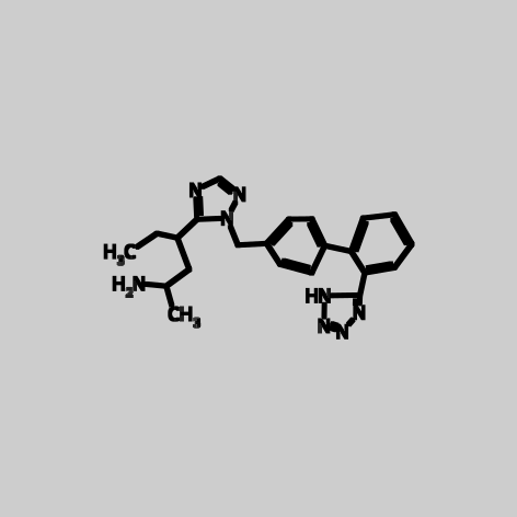 CCC(CC(C)N)c1ncnn1Cc1ccc(-c2ccccc2-c2nnn[nH]2)cc1